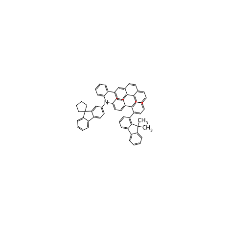 CC1(C)c2ccccc2-c2cccc(-c3ccccc3-c3ccc(N(c4ccc5c(c4)C4(CCCC4)c4ccccc4-5)c4ccccc4-c4ccc5c(ccc6ccccc65)c4)cc3)c21